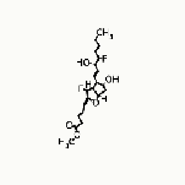 CCCCC(F)[C@H](O)/C=C/[C@@H]1[C@H]2C(F)/C(=C/CCCC(=O)OC)O[C@H]2C[C@H]1O